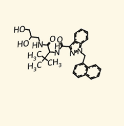 CC(C)(C)C(NC(=O)c1nn(Cc2cccc3ccccc23)c2ccccc12)C(=O)NCC(O)CO